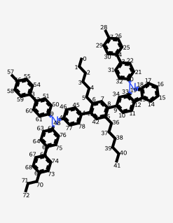 CCCCCCc1cc(-c2ccc3c4ccccc4n(-c4ccc(-c5ccc(C)cc5)cc4)c3c2)c(CCCCCC)cc1-c1ccc(N(c2ccc(-c3ccc(C)cc3)cc2)c2ccc(-c3ccc(CCC)cc3)cc2)cc1